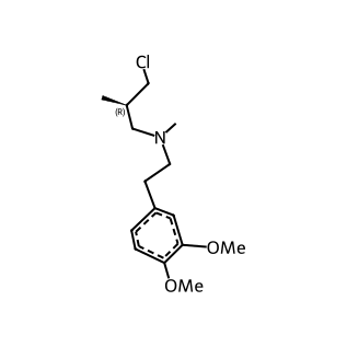 COc1ccc(CCN(C)C[C@@H](C)CCl)cc1OC